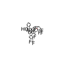 Cc1c(Cc2c(F)cccc2C(F)(F)F)c2n(c(=O)c1-c1cccc(CC(F)F)c1F)C(C(=NO)c1ccccc1)CS2